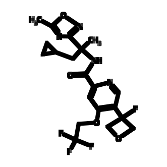 Cc1nc(C(C)(CC2CC2)NC(=O)c2cc(OCC(F)(F)F)c(C3(F)COC3)cn2)no1